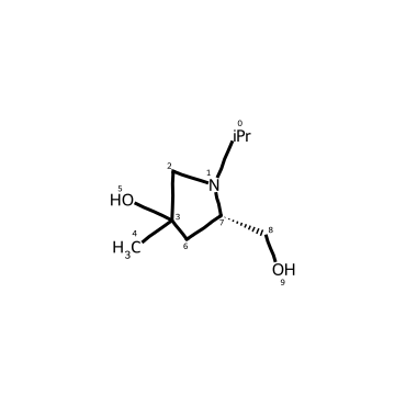 CC(C)N1CC(C)(O)C[C@H]1CO